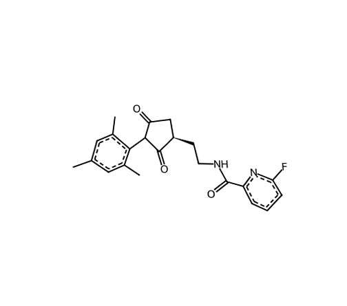 Cc1cc(C)c(C2C(=O)C[C@@H](CCNC(=O)c3cccc(F)n3)C2=O)c(C)c1